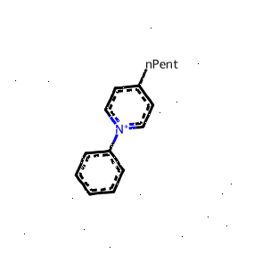 CCCCCc1cc[n+](-c2ccccc2)cc1